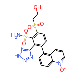 NS(=O)(=O)c1c(S(=O)(=O)CCO)ccc(-c2cccc3c2ccc[n+]3[O-])c1-c1nn[nH]n1